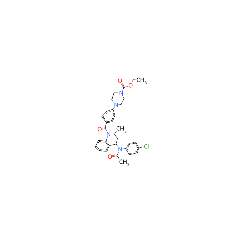 CCOC(=O)N1CCN(c2ccc(C(=O)N3c4ccccc4C(N(C(C)=O)c4ccc(Cl)cc4)CC3C)cc2)CC1